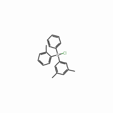 Cc1cc(C)cc([Si](Cl)(c2ccccc2)c2ccccc2C)c1